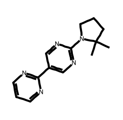 CC1(C)CCCN1c1ncc(-c2ncccn2)cn1